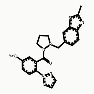 COc1ccc(-n2nccn2)c(C(=O)N2CCCN2Cc2ccc3nc(C)sc3c2)c1